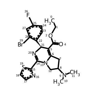 CCOC(=O)C1=C2CC(N(C)C)CN2C(c2nccs2)=N[C@H]1c1ccc(F)cc1Br